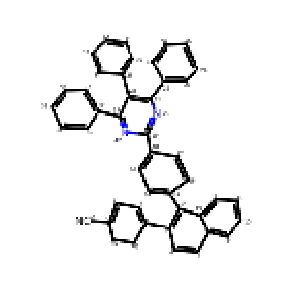 N#CC1=CC=C(c2ccc3ccccc3c2-c2ccc(-c3nc(-c4ccccc4)c(-c4ccccc4)c(-c4ccccc4)n3)cc2)CC1